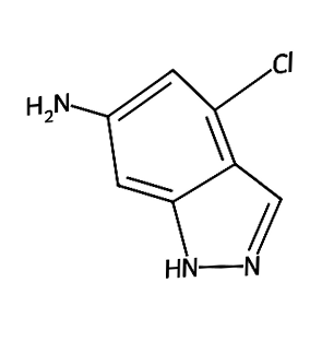 Nc1cc(Cl)c2cn[nH]c2c1